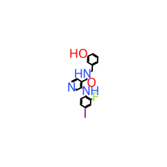 O=C(NCc1cccc(O)c1)c1ccncc1Nc1ccc(I)cc1F